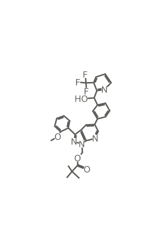 COc1ccccc1-c1nn(COC(=O)C(C)(C)C)c2ncc(-c3cccc(C(O)c4ncccc4C(F)(F)F)c3)cc12